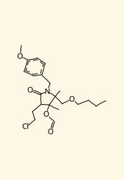 CCCCOCC1(C)N(Cc2ccc(OC)cc2)C(=O)C(CCCl)C1(C)OC=O